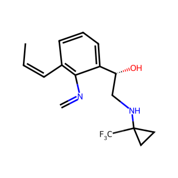 C=Nc1c(/C=C\C)cccc1[C@H](O)CNC1(C(F)(F)F)CC1